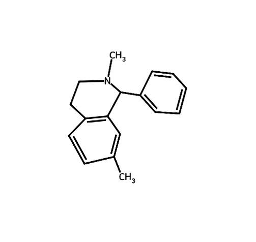 Cc1ccc2c(c1)C(c1ccccc1)N(C)CC2